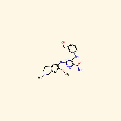 COc1cc2c(cc1Nc1nnc(C(N)=O)c(Nc3cccc(CO)c3)n1)CCN(C)C2